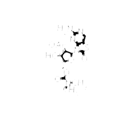 CC(=O)O[C@@H]1[C@H](O)[C@@H](COC(=O)N(C)C)O[C@H]1n1c(=O)sc2cnc(N)nc21